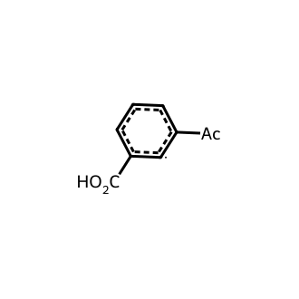 CC(=O)c1[c]c(C(=O)O)ccc1